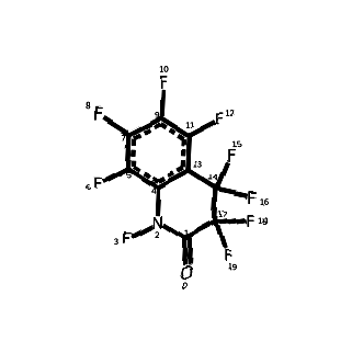 O=C1N(F)c2c(F)c(F)c(F)c(F)c2C(F)(F)C1(F)F